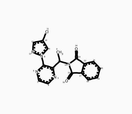 CC(c1nccnc1-n1cc(Cl)cn1)N1C(=O)c2ccccc2C1=O